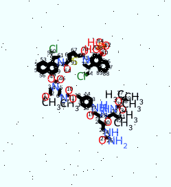 COCCN(CCN(C)C(=O)OCc1ccc(NC(=O)[C@H](CCCNC(N)=O)NC(=O)[C@@H](NC(=O)OC(C)(C)C)C(C)C)cc1)C(=O)Oc1cc2c(c3ccccc13)[C@H](CCl)CN2C(=O)c1ccc(C(=O)N2C[C@@H](CCl)c3c2cc(OP(=O)(O)O)c2ccccc32)s1